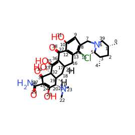 C[C@@H]1C[C@H](C)CN(Cc2cc(O)c3c(c2Cl)C[C@H]2C[C@H]4[C@H](N(C)C)C(O)=C(C(N)=O)C(=O)[C@@]4(O)C(O)=C2C3=O)C1